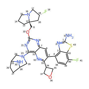 Nc1nc2c(-c3cc4nc(OC[C@@]56CCCN5C[C@H](F)C6)nc(N5CC6CCC(C5)N6)c4nc3C3COC3)ccc(F)c2s1